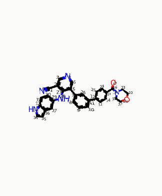 N#Cc1cncc(-c2cccc(-c3ccc(C(=O)N4CCOCC4)cc3)c2)c1Nc1ccc2[nH]ccc2c1